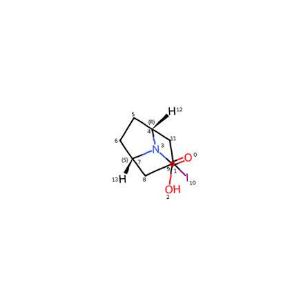 O=C(O)N1[C@@H]2CC[C@H]1CC(I)C2